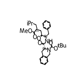 COC(=O)[C@H](CC(=O)[C@@H](Cc1ccccc1)NC(=O)[C@H]1Cc2ccccc2CN1C(=O)OC(C)(C)C)CC(C)C